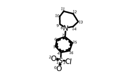 O=S(=O)(Cl)c1ccc(N2CCCCCC2)cc1